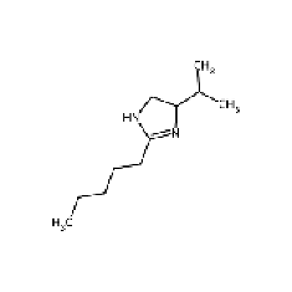 CCCCCC1=NC(C(C)C)CN1